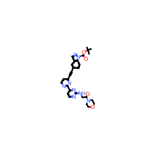 CC(C)(C)OC(=O)n1ncc2cc(C#Cc3ccnc(-c4ccnc(NCC(=O)N5CCOCC5)n4)n3)ccc21